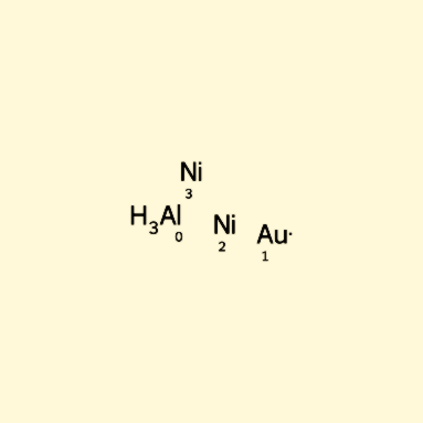 [AlH3].[Au].[Ni].[Ni]